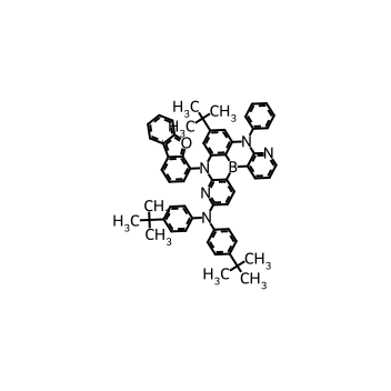 CC(C)(C)c1ccc(N(c2ccc(C(C)(C)C)cc2)c2ccc3c(n2)N(c2cccc4c2oc2ccccc24)c2cc(C(C)(C)C)cc4c2B3c2cccnc2N4c2ccccc2)cc1